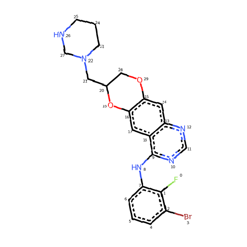 Fc1c(Br)cccc1Nc1ncnc2cc3c(cc12)OC(CN1CCCNC1)CO3